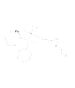 CC(C)(C)[Si](OCC1CC1(F)CO)(c1ccccc1)c1ccccc1